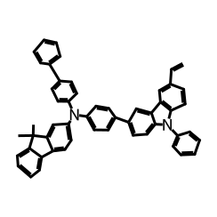 C=Cc1ccc2c(c1)c1cc(-c3ccc(N(c4ccc(-c5ccccc5)cc4)c4ccc5c(c4)C(C)(C)c4ccccc4-5)cc3)ccc1n2-c1ccccc1